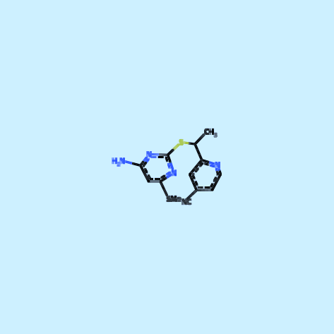 CSc1cc(N)nc(SC(C)c2cc(C#N)ccn2)n1